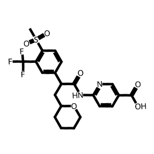 CS(=O)(=O)c1ccc(C(CC2CCCCO2)C(=O)Nc2ccc(C(=O)O)cn2)cc1C(F)(F)F